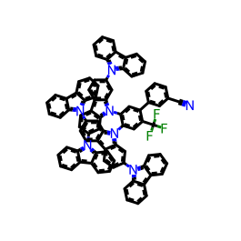 N#Cc1cccc(-c2cc(-n3c4cc(-n5c6ccccc6c6ccccc65)ccc4c4ccc(-n5c6ccccc6c6ccccc65)cc43)c(-n3c4cc(-n5c6ccccc6c6ccccc65)ccc4c4ccc(-n5c6ccccc6c6ccccc65)cc43)cc2C(F)(F)F)c1